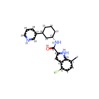 Cc1ccc(F)c2cc(C(=O)N[C@H]3CCCC(c4cccnc4)C3)[nH]c12